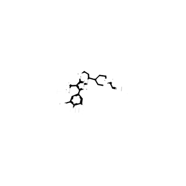 C=CC(=O)N1CCC(C2CCNc3c(C(N)=O)c(-c4cc(Cl)c(C)c(Cl)c4)nn32)CC1